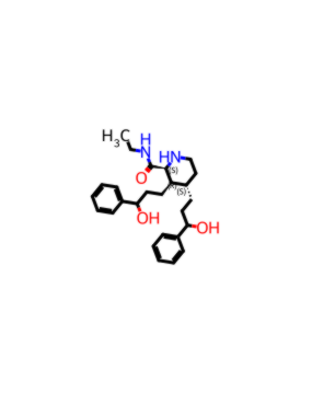 CCNC(=O)[C@H]1NCC[C@H](CCC(O)c2ccccc2)[C@H]1CCC(O)c1ccccc1